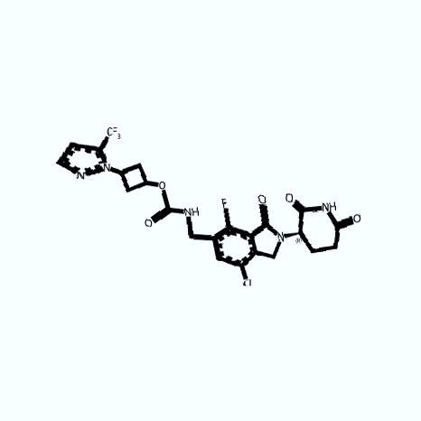 O=C1CC[C@@H](N2Cc3c(Cl)cc(CNC(=O)OC4CC(n5nccc5C(F)(F)F)C4)c(F)c3C2=O)C(=O)N1